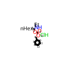 CCCCCCC(NCC)OC(=O)OCc1ccccc1.Cl